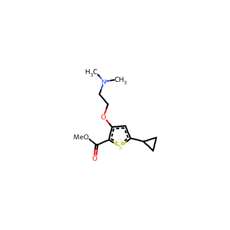 COC(=O)c1sc(C2CC2)cc1OCCN(C)C